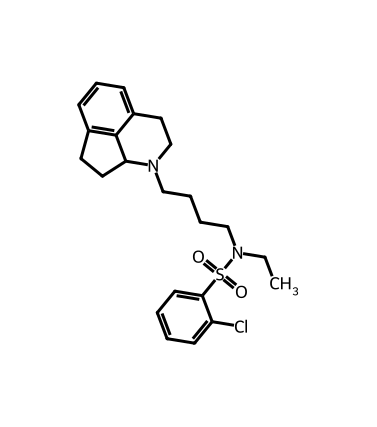 CCN(CCCCN1CCc2cccc3c2C1CC3)S(=O)(=O)c1ccccc1Cl